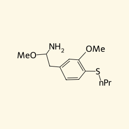 CCCSc1ccc(CC(N)OC)cc1OC